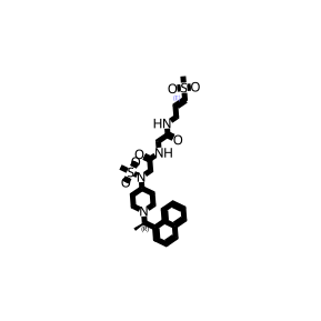 C[C@H](c1cccc2ccccc12)N1CCC(N(CC(=O)NCC(=O)NC/C=C/S(C)(=O)=O)S(C)(=O)=O)CC1